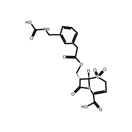 O=C(O)NCc1cccc(CC(=O)OC[C@H]2C(=O)N3C(C(=O)O)=CCS(=O)(=O)[C@@H]23)c1